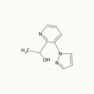 CC(O)c1ncccc1-n1cccn1